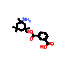 CC1(C)CC(C)(C)CC(C)(N)C1.O=C(O)c1cccc(C(=O)O)c1